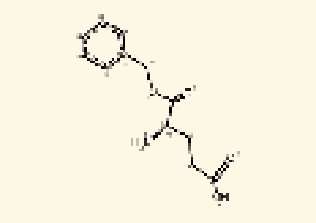 N[C@H](CCC(=O)O)C(=O)OCc1ccccc1